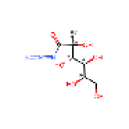 CC(=O)[C@](O)(C(=O)N=[N+]=[N-])[C@@H](O)[C@@H](O)[C@H](O)CO